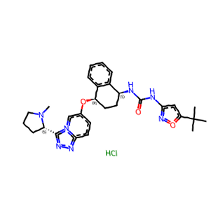 CN1CCC[C@H]1c1nnc2ccc(O[C@@H]3CC[C@H](NC(=O)Nc4cc(C(C)(C)C)on4)c4ccccc43)cn12.Cl